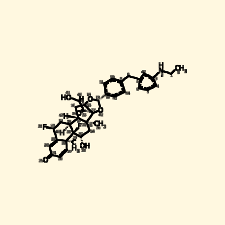 CCNc1cccc(Cc2ccc([C@H]3O[C@@H]4C[C@H]5[C@@H]6C[C@H](F)C7=CC(=O)C=C[C@]7(C)[C@@]6(F)[C@@H](O)C[C@]5(C)[C@]4(C(=O)CO)O3)cc2)c1